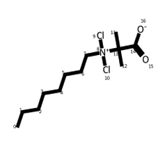 CCCCCCCC[N+](Cl)(Cl)C(C)(C)C(=O)[O-]